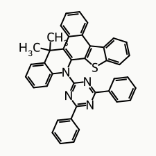 CC1(C)c2ccccc2N(c2nc(-c3ccccc3)nc(-c3ccccc3)n2)c2c1c1ccccc1c1c2sc2ccccc21